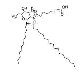 CCCCCCCCCCCCCCCCCC(=O)N(CCCCCCCCCCCC)[C@@H]1O[C@H](CO)[C@@H](O)[C@H](O)[C@@H]1NC(=O)CCCCCCC(=O)O